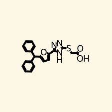 O=C(O)CSc1nnc(-c2ccc(C(c3ccccc3)c3ccccc3)o2)[nH]1